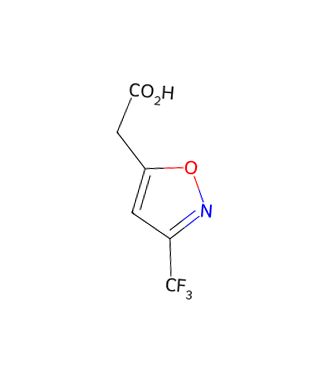 O=C(O)Cc1cc(C(F)(F)F)no1